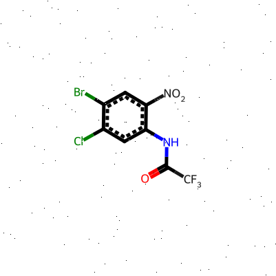 O=C(Nc1cc(Cl)c(Br)cc1[N+](=O)[O-])C(F)(F)F